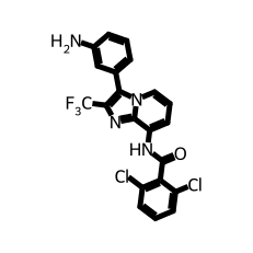 Nc1cccc(-c2c(C(F)(F)F)nc3c(NC(=O)c4c(Cl)cccc4Cl)cccn23)c1